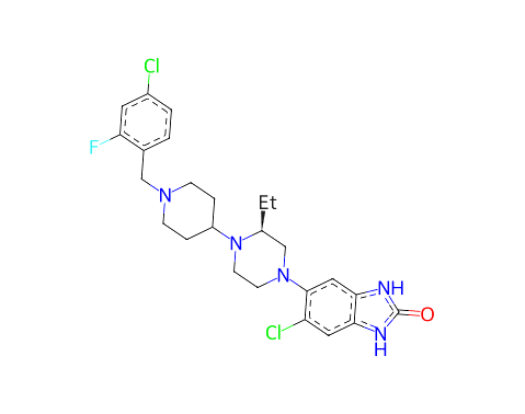 CC[C@H]1CN(c2cc3[nH]c(=O)[nH]c3cc2Cl)CCN1C1CCN(Cc2ccc(Cl)cc2F)CC1